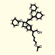 CC(=O)OCCCCC(CO)C1=CC2C(C1)CC(OC1CCCCO1)C2C=CC(OC1CCCCO1)C1CCCCC1